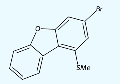 CSc1cc(Br)cc2oc3ccccc3c12